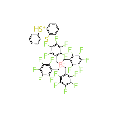 Fc1c(F)c(F)c(C[B-](Cc2c(F)c(F)c(F)c(F)c2F)(Cc2c(F)c(F)c(F)c(F)c2F)Cc2c(F)c(F)c(F)c(F)c2F)c(F)c1F.c1ccc2c(c1)Sc1ccccc1[SH+]2